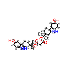 CCC(CC)(OC(=O)CC(=O)OC(CC)(CC)C1CCc2c([nH]c3ccc(O)cc23)C1)C1CCc2c([nH]c3ccc(O)cc23)C1